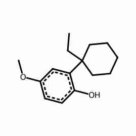 CCC1(c2cc(OC)ccc2O)CCCCC1